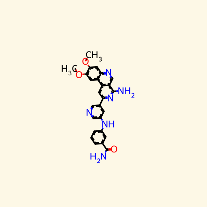 COc1cc2ncc3c(N)nc(-c4cncc(Nc5cccc(C(N)=O)c5)c4)cc3c2cc1OC